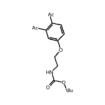 CC(=O)c1ccc(OCCNC(=O)OC(C)(C)C)cc1C(C)=O